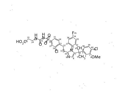 COc1cc(C(C)(C)c2cnc(SCc3ccc(S(=O)(=O)NC(=O)NCCC(=O)O)cc3Cl)n2-c2ccc(F)cc2)ccc1Cl